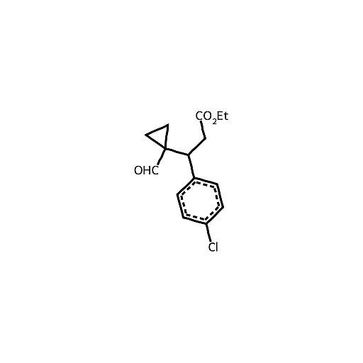 CCOC(=O)CC(c1ccc(Cl)cc1)C1(C=O)CC1